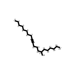 [CH2]CCCCCCCC#CCCCC(C)CCCCC[CH2]